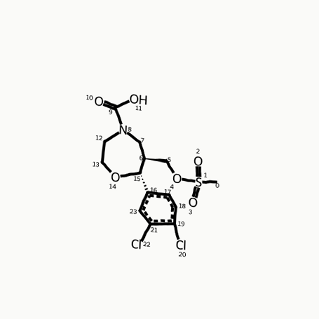 CS(=O)(=O)OC[C@@H]1CN(C(=O)O)CCO[C@H]1c1ccc(Cl)c(Cl)c1